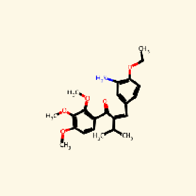 CCOc1ccc(C=C(C(=O)c2ccc(OC)c(OC)c2OC)C(C)C)cc1N